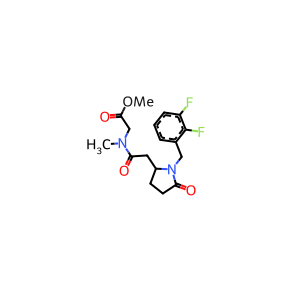 COC(=O)CN(C)C(=O)CC1CCC(=O)N1Cc1cccc(F)c1F